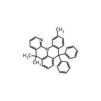 Cc1ccc2c(c1)N1c3ncccc3C(C)(C)c3cccc(c31)C2(c1ccccc1)c1ccccc1